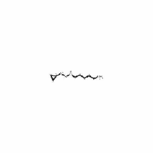 CCCCCCOSSC1CC1